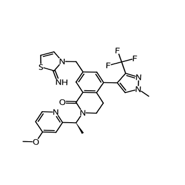 COc1ccnc([C@H](C)N2CCc3c(cc(Cn4ccsc4=N)cc3-c3cn(C)nc3C(F)(F)F)C2=O)c1